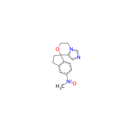 C[N+](=O)c1ccc2c(c1)CCC21OCCn2cncc21